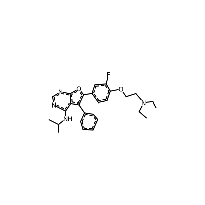 CCN(CC)CCOc1ccc(-c2oc3ncnc(NC(C)C)c3c2-c2ccccc2)cc1F